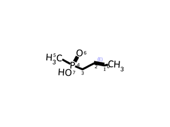 C/C=C/CP(C)(=O)O